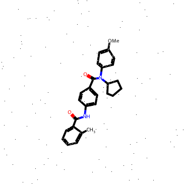 COc1ccc(N(C(=O)c2ccc(NC(=O)c3ccccc3C)cc2)C2CCCC2)cc1